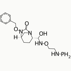 O=C1N2C[C@@H](CC[C@H]2C(O)NOCCNP)N1OCc1ccccc1